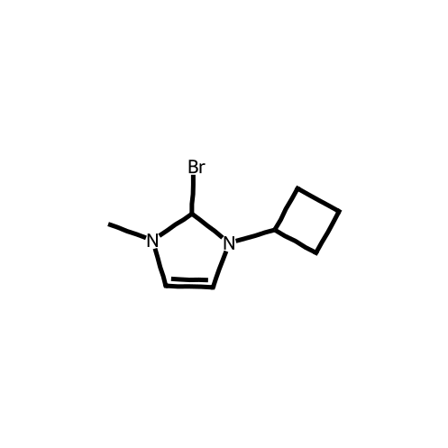 CN1C=CN(C2CCC2)C1Br